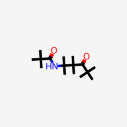 CC(C)(C)C(=O)NC(C)(C)C(C)(C)C(=O)C(C)(C)C